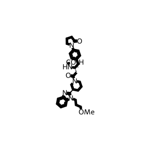 COCCCn1c([C@@H]2CCCN(C(=O)C[C@@H](Cc3ccc(N4CCCC4=O)cc3)NC(=O)O)C2)nc2ccccc21